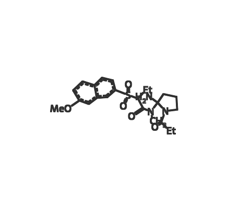 CCC(=O)N1CCCC1(N)N(C)C(=O)C(CC)S(=O)(=O)c1ccc2ccc(OC)cc2c1